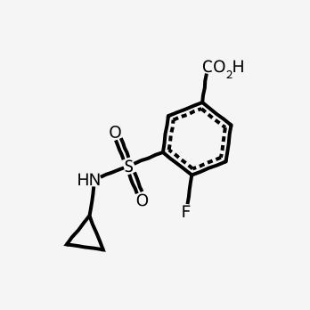 O=C(O)c1ccc(F)c(S(=O)(=O)NC2CC2)c1